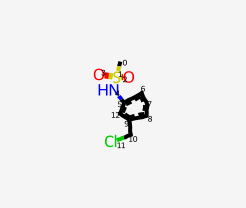 CS(=O)(=O)Nc1cccc(CCl)c1